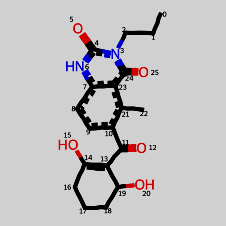 CCCn1c(=O)[nH]c2ccc(C(=O)C3=C(O)CCCC3O)c(C)c2c1=O